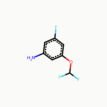 Nc1cc(F)cc(OC(F)F)c1